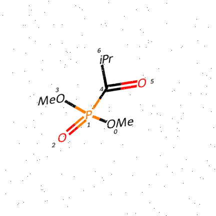 COP(=O)(OC)C(=O)C(C)C